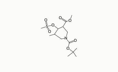 COC(=O)C1CN(C(=O)OC(C)(C)C)CC(C)C1OS(C)(=O)=O